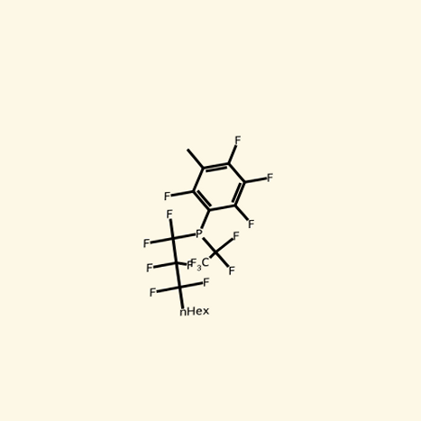 CCCCCCC(F)(F)C(F)(F)C(F)(F)P(c1c(F)c(C)c(F)c(F)c1F)C(F)(F)C(F)(F)F